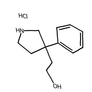 Cl.OCCC1(c2ccccc2)CCNC1